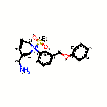 CCS(=O)(=O)[N+]1(c2cccc(COc3ccccc3)c2)C=C(CN)C=CC1